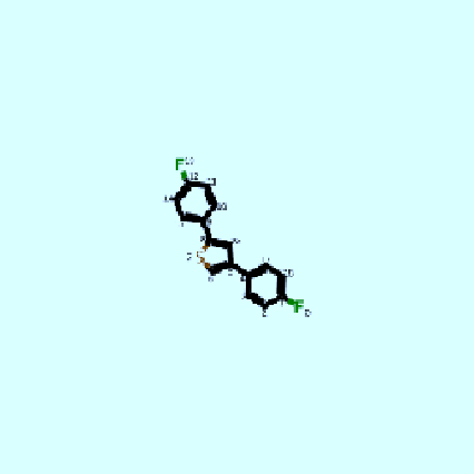 Fc1ccc(-c2csc(-c3ccc(F)cc3)c2)cc1